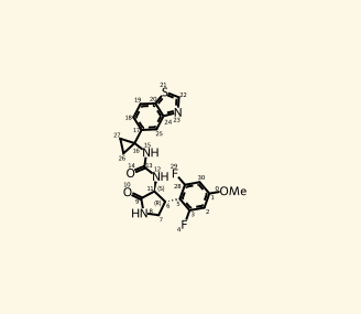 COc1cc(F)c([C@@H]2CNC(=O)[C@H]2NC(=O)NC2(c3ccc4scnc4c3)CC2)c(F)c1